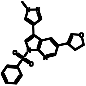 Cn1cc(-c2cn(S(=O)(=O)c3ccccc3)c3ncc(C4=COCC4)cc23)cn1